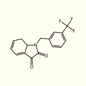 O=C1C(=O)N(Cc2cccc(C(F)(F)F)c2)C2CC=CC=C12